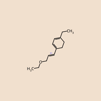 CCOC/C=C/C1=CC=C(CC)CC1